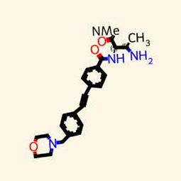 CNC(=O)[C@@H](NC(=O)c1ccc(C#Cc2ccc(CN3CCOCC3)cc2)cc1)[C@@H](C)N